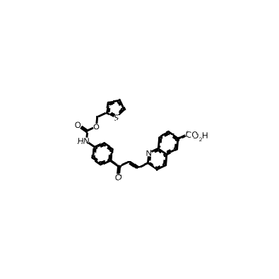 O=C(Nc1ccc(C(=O)C=Cc2ccc3cc(C(=O)O)ccc3n2)cc1)OCc1cccs1